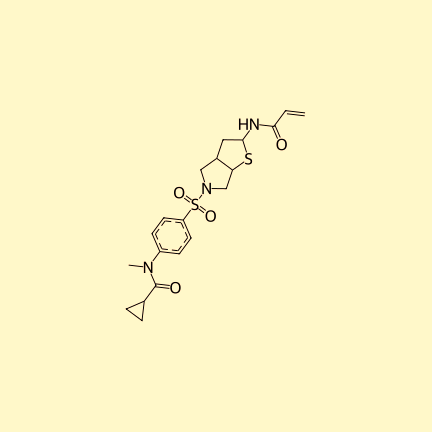 C=CC(=O)NC1CC2CN(S(=O)(=O)c3ccc(N(C)C(=O)C4CC4)cc3)CC2S1